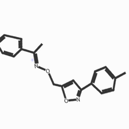 C/C(=N\OCc1cc(-c2ccc(C)cc2)no1)c1ccccc1